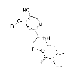 C=C(CCNC(C)c1cc(OCC)c(C#N)cn1)/C(=C\C)C(=C)OCC